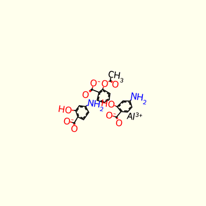 CC(=O)Oc1ccccc1C(=O)[O-].Nc1ccc(C(=O)[O-])c(O)c1.Nc1ccc(C(=O)[O-])c(O)c1.[Al+3]